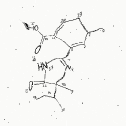 CC1C=C(C2=NC(C)(C(C)C)C(=O)N2)C(C(=O)O)=CC1